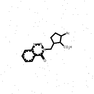 CC(=O)C1CCC(Cn2nnc3ccccc3c2=O)C1C(=O)O